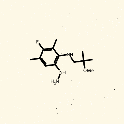 COC(C)(C)CNc1c(NN)cc(C)c(F)c1C